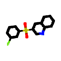 O=S(=O)(c1cccc(F)c1)c1cnc2ccccc2c1